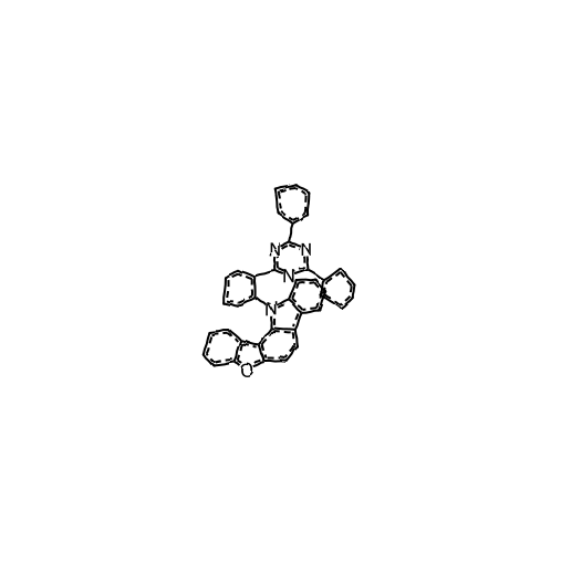 c1ccc(-c2nc(-c3ccccc3)nc(-c3ccccc3-n3c4ccccc4c4ccc5oc6ccccc6c5c43)n2)cc1